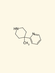 CC1(c2ccccn2)CCNCC1